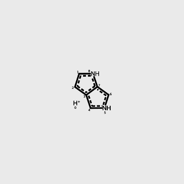 [H+].c1cc2c[nH]cc2[nH]1